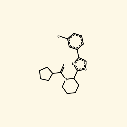 O=C(C1CCCC1)N1CCCCC1c1nc(-c2cccc(Cl)c2)no1